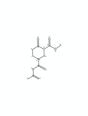 C=C(C)OC(=O)N1CCC(=O)C(C(=O)OC)C1